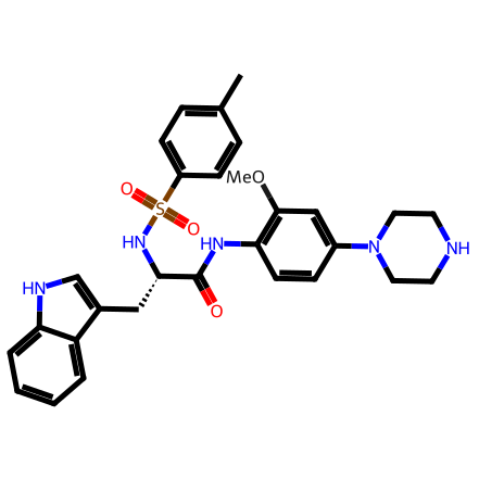 COc1cc(N2CCNCC2)ccc1NC(=O)[C@H](Cc1c[nH]c2ccccc12)NS(=O)(=O)c1ccc(C)cc1